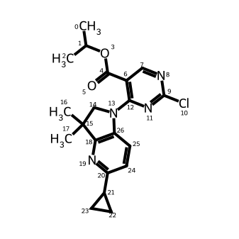 CC(C)OC(=O)c1cnc(Cl)nc1N1CC(C)(C)c2nc(C3CC3)ccc21